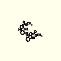 COC(=O)N1CC[C@H]2c3cccc(/N=N/[C@]45CCN(C(=O)OC)C4Nc4ccccc45)c3NC21